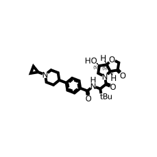 CC(C)(C)C(NC(=O)c1ccc(C2CCN(C3CC3)CC2)cc1)C(=O)N1C[C@H](O)[C@H]2OCC(=O)[C@H]21